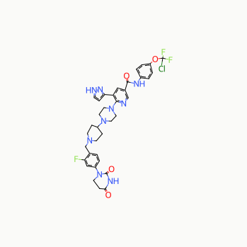 O=C1CCN(c2ccc(CN3CCC(N4CCN(c5ncc(C(=O)Nc6ccc(OC(F)(F)Cl)cc6)cc5-c5cc[nH]n5)CC4)CC3)c(F)c2)C(=O)N1